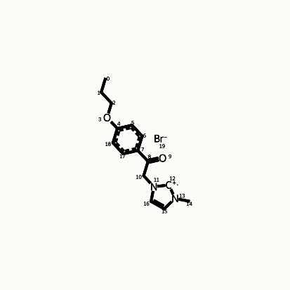 CCCOc1ccc(C(=O)CN2[C+]N(C)C=C2)cc1.[Br-]